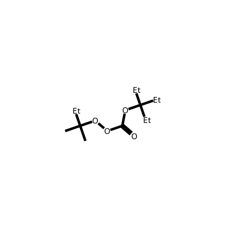 CCC(C)(C)OOC(=O)OC(CC)(CC)CC